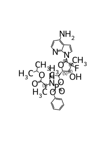 CC(C)OC(=O)[C@H](C)NP(=O)(Oc1ccccc1)OC(C)[C@H]1O[C@@H](n2ccc3c(N)ccnc32)[C@](C)(F)[C@@H]1O